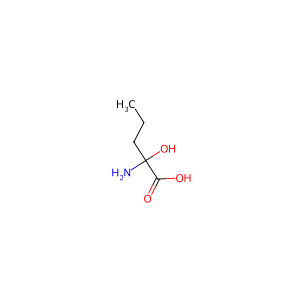 CCCC(N)(O)C(=O)O